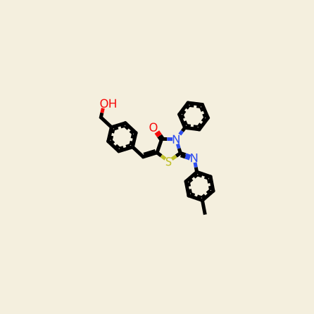 Cc1ccc(N=C2SC(=Cc3ccc(CO)cc3)C(=O)N2c2ccccc2)cc1